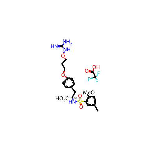 COc1ccc(C)cc1S(=O)(=O)N[C@@H](Cc1ccc(OCCCONC(=N)N)cc1)C(=O)O.O=C(O)C(F)(F)F